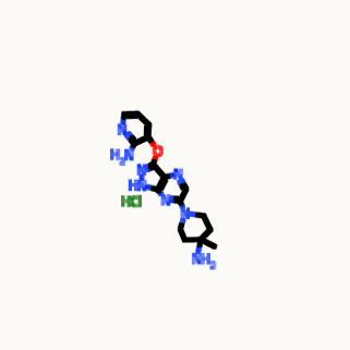 CC1(N)CCN(c2cnc3c(Oc4cccnc4N)n[nH]c3n2)CC1.Cl